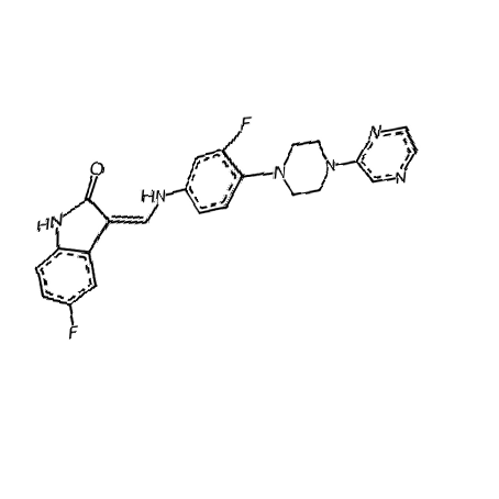 O=C1Nc2ccc(F)cc2C1=CNc1ccc(N2CCN(c3cnccn3)CC2)c(F)c1